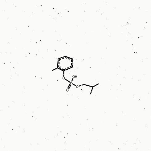 Cc1ccccc1OP(=O)(O)OCC(C)C